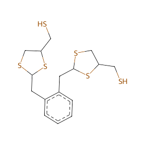 SCC1CSC(Cc2ccccc2CC2SCC(CS)S2)S1